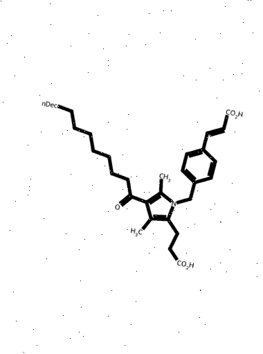 CCCCCCCCCCCCCCCCCC(=O)c1c(C)c(CCC(=O)O)n(Cc2ccc(/C=C/C(=O)O)cc2)c1C